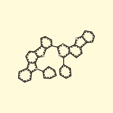 c1ccc(-c2nc(-c3cccc4c3oc3c4ccc4c5ccccc5n(-c5ccccc5)c43)nc3c2ccc2c4ccccc4oc23)cc1